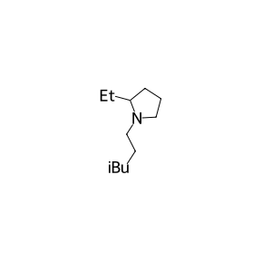 CCC(C)CCN1CCCC1CC